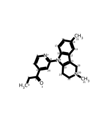 CCC(=O)c1ccnc(-n2c3c(c4cc(C)ccc42)CN(C)CC3)c1